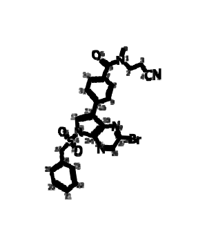 CN(CCC#N)C(=O)c1ccc(-c2cn(S(=O)(=O)Cc3ccccc3)c3ncc(Br)nc23)cc1